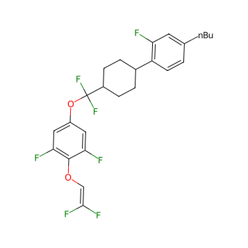 CCCCc1ccc(C2CCC(C(F)(F)Oc3cc(F)c(OC=C(F)F)c(F)c3)CC2)c(F)c1